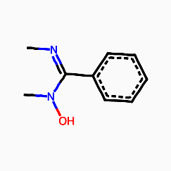 CN=C(c1ccccc1)N(C)O